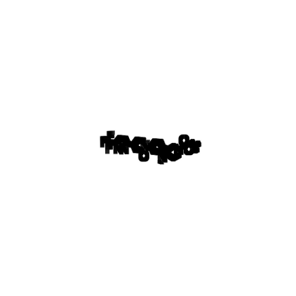 Cn1c2c(c3ccc(-n4ccc(-c5ccc(C(F)(F)F)nn5)cc4=O)cc31)CN(C(=O)OC(C)(C)C)CC2